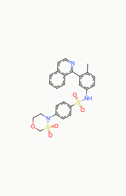 Cc1ccc(NS(=O)(=O)c2ccc(N3CCOCS3(=O)=O)cc2)cc1-c1nccc2ccccc12